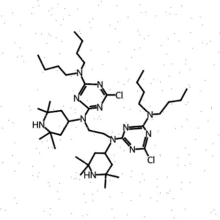 CCCCN(CCCC)c1nc(Cl)nc(N(CCN(c2nc(Cl)nc(N(CCCC)CCCC)n2)C2CC(C)(C)NC(C)(C)C2)C2CC(C)(C)NC(C)(C)C2)n1